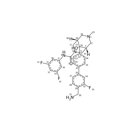 CN1C[C@@H]2CN(C(=O)Nc3cc(F)cc(F)c3)C[C@H](C1)C2(O)c1ccc(-c2ccc(CN)c(F)c2)cc1